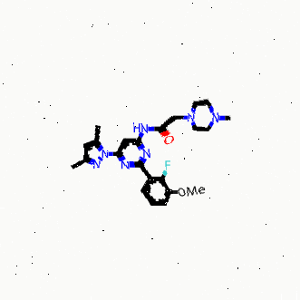 COc1cccc(-c2nc(NC(=O)CN3CCN(C)CC3)cc(-n3nc(C)cc3C)n2)c1F